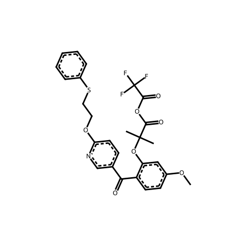 COc1ccc(C(=O)c2ccc(OCCSc3ccccc3)nc2)c(OC(C)(C)C(=O)OC(=O)C(F)(F)F)c1